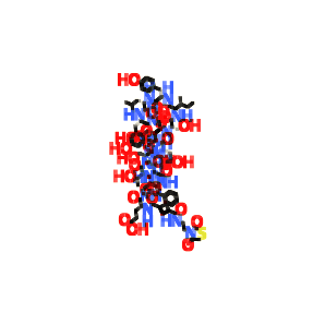 CC[C@H](C)[C@H](NC(=O)[C@H](CO)NC(=O)[C@H](Cc1ccc(O)cc1)NC(=O)[C@H](CC(=O)O)NC(=O)[C@H](CO)NC(=O)[C@@H](NC(=O)[C@H](Cc1ccccc1)NC(=O)[C@@H](NC(=O)CNC(=O)[C@H](CCC(=O)O)NC(=O)C12CC(C(=O)NCCN3C(=O)CSC3=O)(C1)C2)[C@@H](C)O)[C@@H](C)O)C(=O)N[C@@H](Cc1ccc(O)cc1)C(=O)N[C@@H](CC(C)C)C(=O)N[C@@H](CC(=O)O)C(=O)N[C@H](C)CCCCN